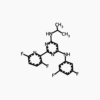 CC(C)Nc1cc(Nc2cc(F)cc(F)c2)nc(-c2nc(F)ccc2F)n1